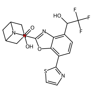 O=C(O)N1C2CC1CN(c1nc3c(C(O)C(F)(F)F)ccc(-c4nccs4)c3o1)C2